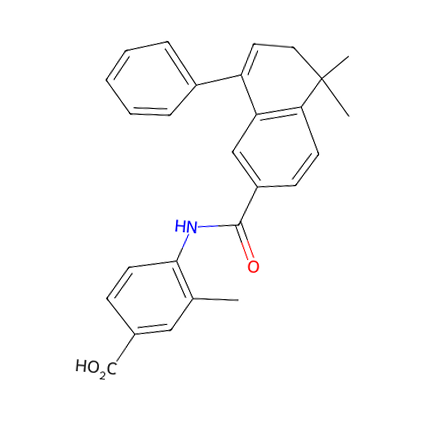 Cc1cc(C(=O)O)ccc1NC(=O)c1ccc2c(c1)C(c1ccccc1)=CCC2(C)C